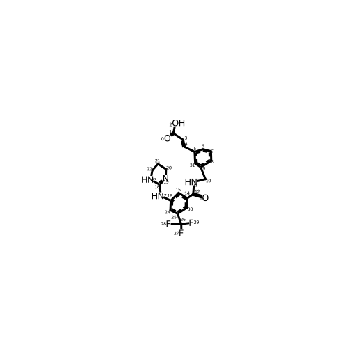 O=C(O)C=Cc1cccc(CNC(=O)c2cc(NC3=NCCCN3)cc(C(F)(F)F)c2)c1